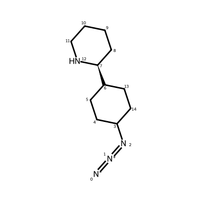 [N-]=[N+]=NC1CCC([C@@H]2CCCCN2)CC1